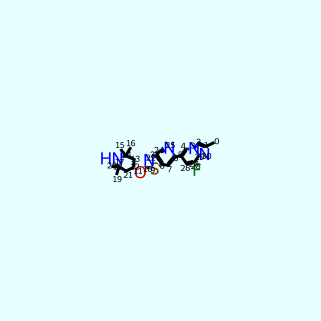 Cc1cn2cc(-c3cc4sc(OC5CC(C)(C)NC(C)(C)C5)nc4cn3)cc(F)c2n1